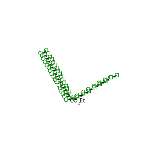 CCOC(C)=O.ClCCl.ClCCl.ClCCl.ClCCl.ClCCl.ClCCl.ClCCl.ClCCl.ClCCl.ClCCl.ClCCl.ClCCl.ClCCl.ClCCl.ClCCl.ClCCl.ClCCl.ClCCl.ClCCl.ClCCl.ClCCl.ClCCl.ClCCl.ClCCl.ClCCl